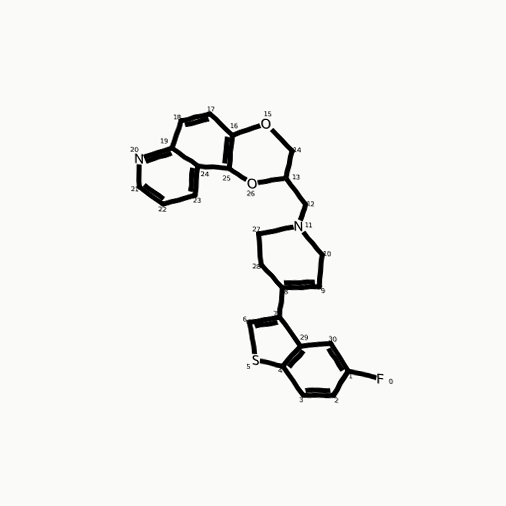 Fc1ccc2scc(C3=CCN(CC4COc5ccc6ncccc6c5O4)CC3)c2c1